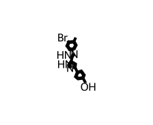 Cc1cc2nc(-c3cc(-c4ccc(CO)cc4)n[nH]3)[nH]c2cc1Br